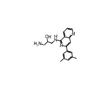 Cc1cc(C)cc(-c2cc3ncccc3c(NCC(O)CN)n2)c1